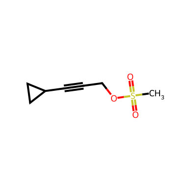 CS(=O)(=O)OCC#CC1CC1